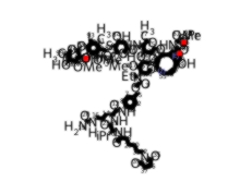 CCN(C(=O)OCc1ccc(NC(=O)[C@H](CCCNC(N)=O)NC(=O)[C@@H](NC(=O)CCCCCN2C(=O)C=CC2=O)C(C)C)cc1)[C@H]1CO[C@@H](O[C@H]2[C@H](O[C@H]3C#C/C=C\C#C[C@]4(O)CC(=O)C(NC(=O)OC)=C3/C4=C\CSSC(C)C)O[C@H](C)[C@@H](NO[C@H]3C[C@H](O)[C@H](SC(=O)c4c(C)c(I)c(O[C@@H]5O[C@@H](C)[C@H](O)[C@@H](OC)[C@H]5O)c(OC)c4OC)[C@@H](C)O3)[C@@H]2O)C[C@@H]1OC